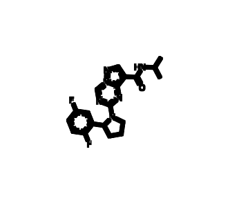 CC(C)NC(=O)c1cnn2cnc(N3CCCC3c3cc(F)ccc3F)nc12